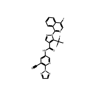 N#Cc1cc(NC(=O)c2cnn(-c3ncc(F)c4ccccc34)c2C(F)(F)F)cnc1-n1nccn1